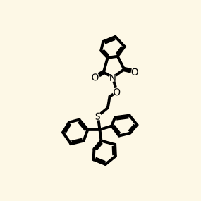 O=C1c2ccccc2C(=O)N1OCCSC(c1ccccc1)(c1ccccc1)c1ccccc1